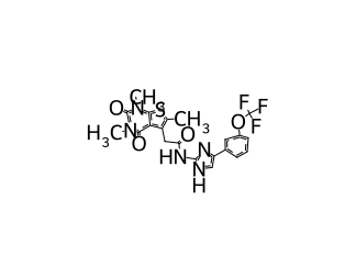 Cc1sc2c(c1CC(=O)Nc1nc(-c3cccc(OC(F)(F)F)c3)c[nH]1)c(=O)n(C)c(=O)n2C